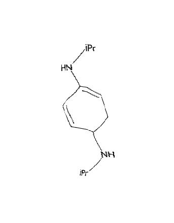 CC(C)NC1=CCC(NC(C)C)C=C1